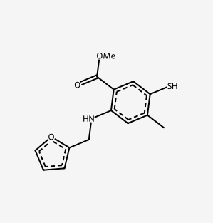 COC(=O)c1cc(S)c(C)cc1NCc1ccco1